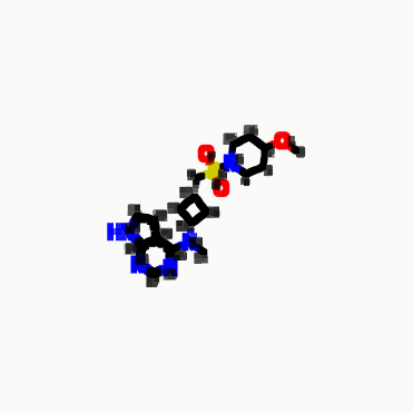 COC1CCN(S(=O)(=O)C[C@H]2C[C@@H](N(C)c3ncnc4[nH]ccc34)C2)CC1